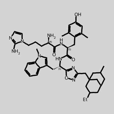 CCC1CC2CC(C)CC(Cc3noc([C@H](Cc4cn(C)c5ccccc45)NC(=O)[C@H](Cc4c(C)cc(O)cc4C)NC(=O)[C@H](N)CCCn4ccnc4N)n3)(C1)C2